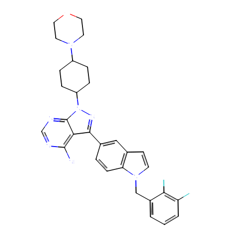 Nc1ncnc2c1c(-c1ccc3c(ccn3Cc3cccc(F)c3F)c1)nn2C1CCC(N2CCOCC2)CC1